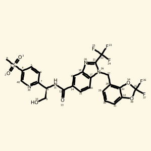 CS(=O)(=O)c1ccc([C@H](CO)NC(=O)c2ccc3c(c2)nc(C(F)(F)F)n3Cc2cccc3c2OC(F)(F)O3)nc1